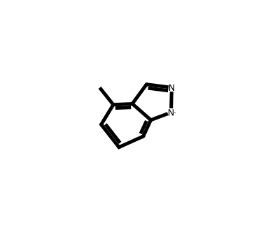 Cc1cccc2c1C=N[N]2